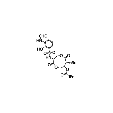 CCCCC1C(=O)OCC(NS(=O)(=O)c2cccc(NC=O)c2O)C(=O)OCC1OC(=O)C(C)C